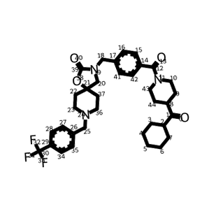 O=C(C1CCCCC1)C1CCN(C(=O)c2ccc(CN3CC4(CCN(Cc5ccc(C(F)(F)F)cc5)CC4)OC3=O)cc2)CC1